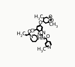 C=CC(=O)N1CCCC[C@@H](n2c(NC(=O)c3ccnc(C)c3)nc3cc(O[C@@H]4CC(C)S(=O)(=O)CC4C)cc(Cl)c32)C1